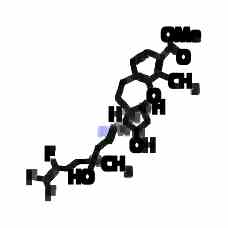 COC(=O)c1ccc2c(c1C)O[C@H]1C[C@@H](O)[C@H](/C=C/C[C@@](C)(O)CCC(F)=C(F)F)[C@H]1CC2